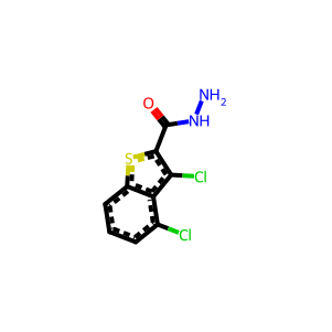 NNC(=O)c1sc2cccc(Cl)c2c1Cl